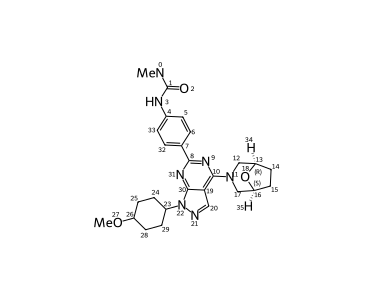 CNC(=O)Nc1ccc(-c2nc(N3C[C@H]4CC[C@@H](C3)O4)c3cnn(C4CCC(OC)CC4)c3n2)cc1